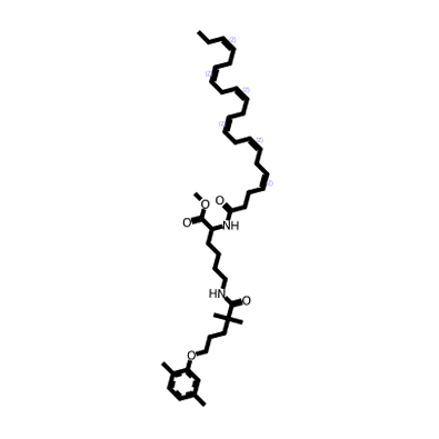 CC/C=C\C/C=C\C/C=C\C/C=C\C/C=C\C/C=C\CCC(=O)NC(CCCCNC(=O)C(C)(C)CCCOc1cc(C)ccc1C)C(=O)OC